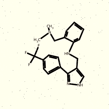 CN(C)Cc1ccccc1NCc1c[nH]nc1-c1ccc(C(F)(F)F)cc1